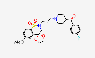 COc1ccc2c(c1)C1(CN(CCCN3CCC(C(=O)c4ccc(F)cc4)CC3)S2(=O)=O)OCCO1